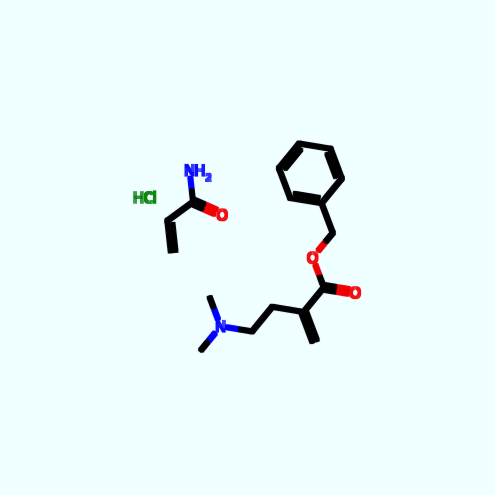 C=C(CCN(C)C)C(=O)OCc1ccccc1.C=CC(N)=O.Cl